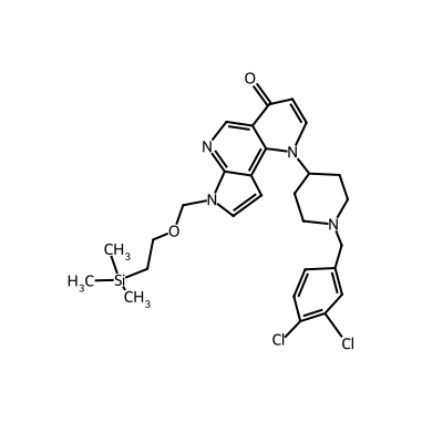 C[Si](C)(C)CCOCn1ccc2c1ncc1c(=O)ccn(C3CCN(Cc4ccc(Cl)c(Cl)c4)CC3)c12